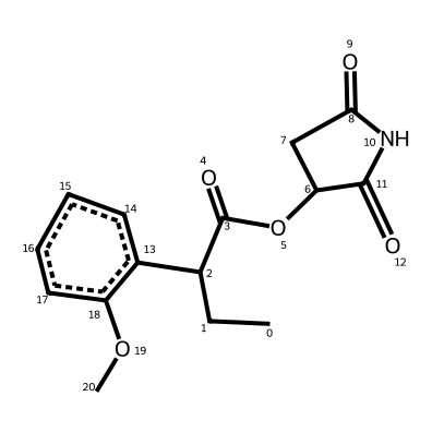 CCC(C(=O)OC1CC(=O)NC1=O)c1ccccc1OC